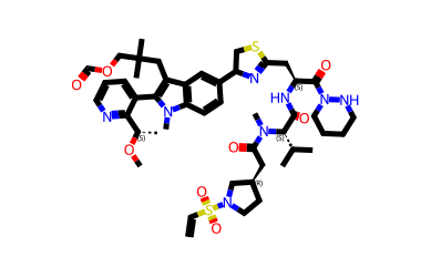 C=CS(=O)(=O)N1CC[C@H](CC(=O)N(C)[C@H](C(=O)N[C@@H](CC2=NC(c3ccc4c(c3)c(CC(C)(C)COC=O)c(-c3cccnc3[C@H](C)OC)n4C)CS2)C(=O)N2CCCCN2)C(C)C)C1